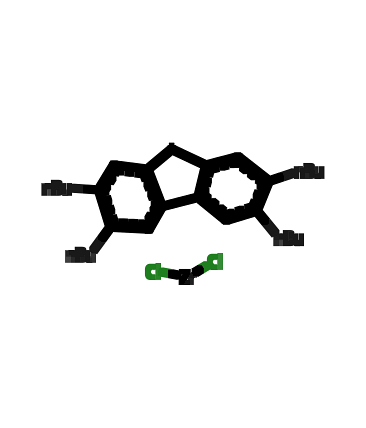 CCCCc1cc2c(cc1CCCC)-c1cc(CCCC)c(CCCC)cc1[CH]2.[Cl][Zr][Cl]